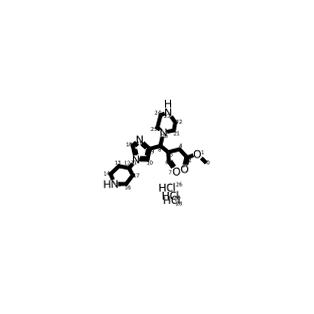 COC(=O)CC(C=O)C(c1cn(C2CCNCC2)cn1)N1CCNCC1.Cl.Cl.Cl